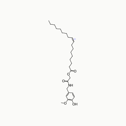 CCCCCCCC/C=C\CCCCCCCC(=O)OCC(=O)NCc1ccc(O)c(OC)c1